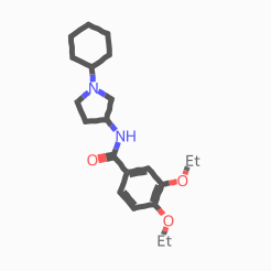 CCOc1ccc(C(=O)NC2CCN(C3CCCCC3)C2)cc1OCC